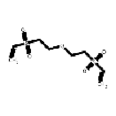 C=CS(=O)(=O)CCOCCS(=O)(=O)C=C